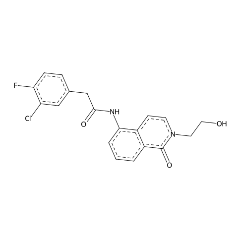 O=C(Cc1ccc(F)c(Cl)c1)Nc1cccc2c(=O)n(CCO)ccc12